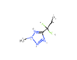 Cn1nnc(C(F)(F)CC(F)(F)F)n1